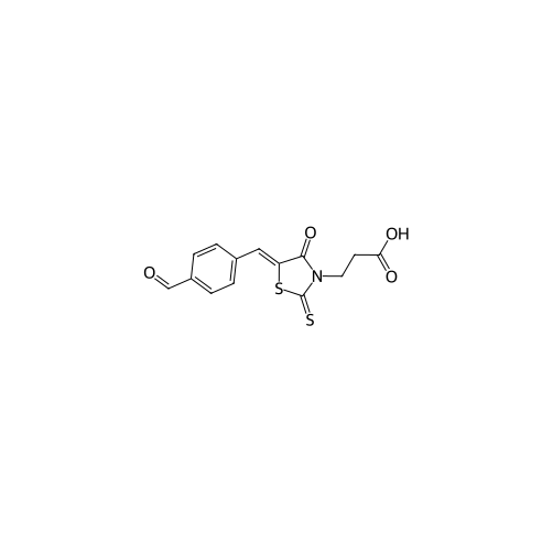 O=Cc1ccc(/C=C2\SC(=S)N(CCC(=O)O)C2=O)cc1